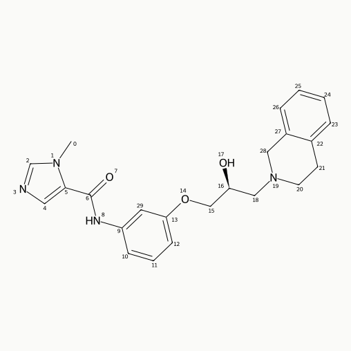 Cn1cncc1C(=O)Nc1cccc(OC[C@@H](O)CN2CCc3ccccc3C2)c1